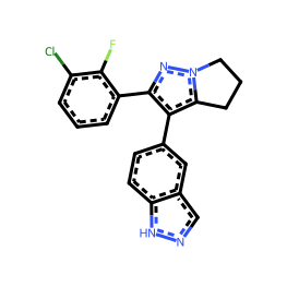 Fc1c(Cl)cccc1-c1nn2c(c1-c1ccc3[nH]ncc3c1)CCC2